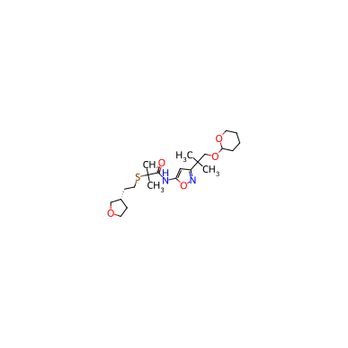 CC(C)(SCC[C@@H]1CCOC1)C(=O)Nc1cc(C(C)(C)COC2CCCCO2)no1